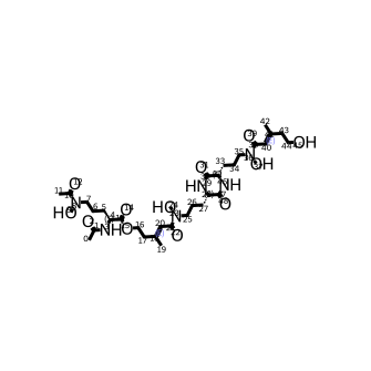 CC(=O)N[C@@H](CCCN(O)C(C)=O)C(=O)OCC/C(C)=C/C(=O)N(O)CCC[C@@H]1NC(=O)[C@H](CCCN(O)C(=O)/C=C(\C)CCO)NC1=O